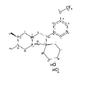 C[C@H]1CN(C[C@H](c2cccc(OC(F)(F)F)c2)C2(O)CCCCC2)CCN1C.Cl.Cl